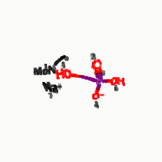 CNC.O=P([O-])(O)O.[Na+]